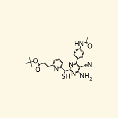 CC(=O)Nc1ccc(-c2nc(C(S)c3cccc(/C=C/C(=O)OC(C)(C)C)n3)nc(N)c2C#N)cc1